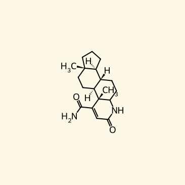 C[C@@]12CCC[C@H]1[C@@H]1CCC3NC(=O)C=C(C(N)=O)[C@]3(C)[C@H]1CC2